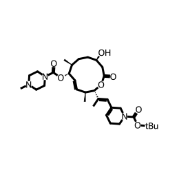 C/C(=C\C1=CCCN(C(=O)OC(C)(C)C)C1)[C@H]1OC(=O)C[C@H](O)CC[C@H](C)[C@@H](OC(=O)N2CCN(C)CC2)/C=C/[C@@H]1C